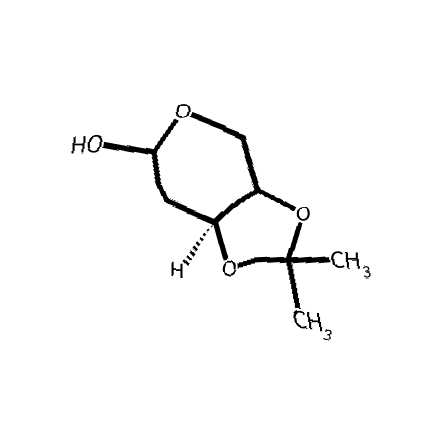 CC1(C)OC2COC(O)C[C@@H]2O1